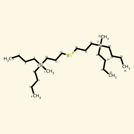 CCCC[Si](C)(CCCC)CCCSCCC[Si](C)(CCCC)CCCC